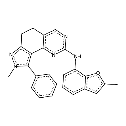 Cc1cc2cccc(Nc3ncc4c(n3)-c3c(nn(C)c3-c3ccccc3)CC4)c2o1